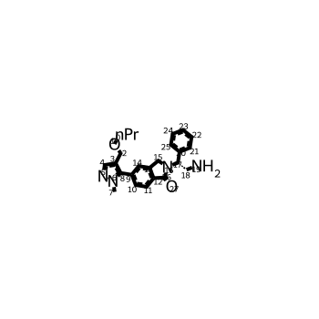 CCCOCc1cnn(C)c1-c1ccc2c(c1)CN([C@@H](CN)c1ccccc1)C2=O